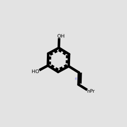 CCC/C=C/c1cc(O)cc(O)c1